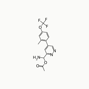 CC(=O)OC(N)c1cc(-c2ccc(OC(F)(F)F)cc2C)cnn1